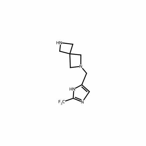 FC(F)(F)c1ncc(CN2CC3(CNC3)C2)[nH]1